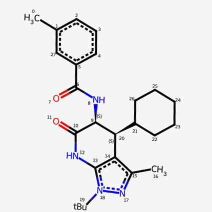 Cc1cccc(C(=O)N[C@@H]2C(=O)Nc3c(c(C)nn3C(C)(C)C)[C@@H]2C2CCCCC2)c1